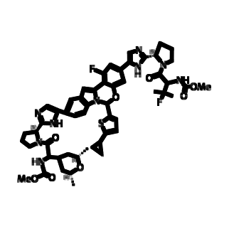 COC(=O)NC(C(=O)N1CCC[C@H]1c1ncc(-c2ccc3c(c2)cc2n3C(c3ccc(C4CC4)s3)Oc3cc(-c4cnc([C@@H]5CCCN5C(=O)C(NC(=O)OC)C(C)(C)F)[nH]4)cc(F)c3-2)[nH]1)C1C[C@@H](C)O[C@@H](C)C1